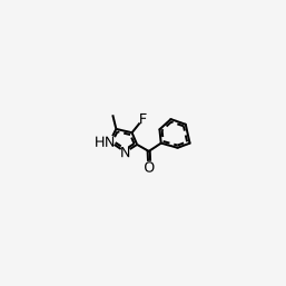 Cc1[nH]nc(C(=O)c2ccccc2)c1F